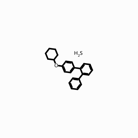 S.c1ccc(-c2ccccc2-c2ccc(OC3CCCCC3)cc2)cc1